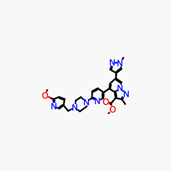 COC(=O)c1c(C)nn2cc(-c3cnn(C)c3)cc(-c3ccc(N4CCN(Cc5ccc(OC)nc5)CC4)nc3)c12